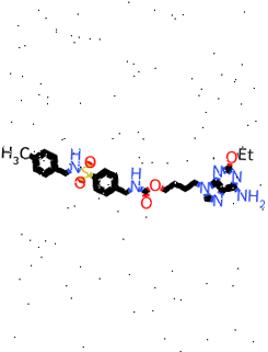 CCOc1nc(N)c2ncn(CCCCOC(=O)NCc3ccc(S(=O)(=O)NCc4ccc(C)cc4)cc3)c2n1